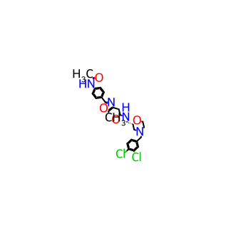 CC(=O)Nc1ccc(-c2nc(CC(=O)NC[C@H]3CN(Cc4ccc(Cl)c(Cl)c4)CCO3)c(C)o2)cc1